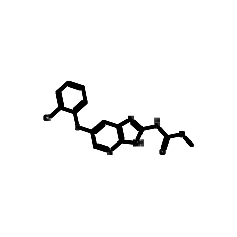 COC(=O)Nc1nc2cc(Sc3ccccc3Cl)cnc2[nH]1